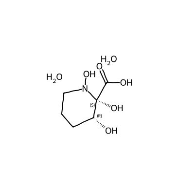 O.O.O=C(O)[C@@]1(O)[C@H](O)CCCN1O